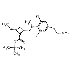 C/C=C1\CC(CN(C)c2c(F)cc(CCN)cc2Cl)N1C(=O)OC(C)(C)C